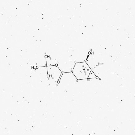 CC(C)(C)OC(=O)N1C[C@@H](O)[C@H]2O[C@H]2C1